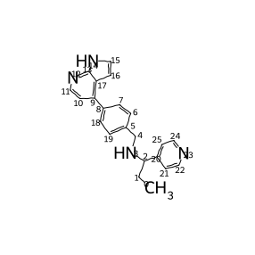 CCC(NCc1ccc(-c2ccnc3[nH]ccc23)cc1)c1ccncc1